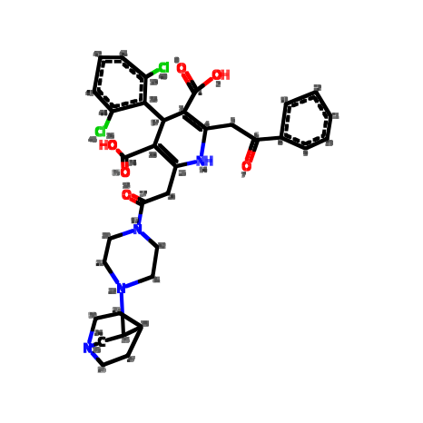 O=C(O)C1=C(CC(=O)c2ccccc2)NC(CC(=O)N2CCN(C3CN4CCC3CC4)CC2)=C(C(=O)O)C1c1c(Cl)cccc1Cl